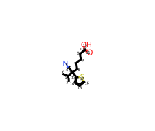 CC(C)C(C#N)(CCCCC(=O)O)c1cccs1